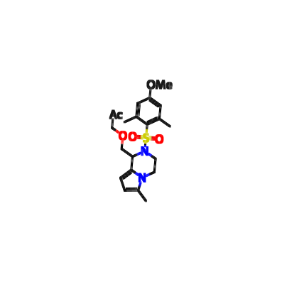 COc1cc(C)c(S(=O)(=O)N2CCn3c(C)ccc3C2COCC(C)=O)c(C)c1